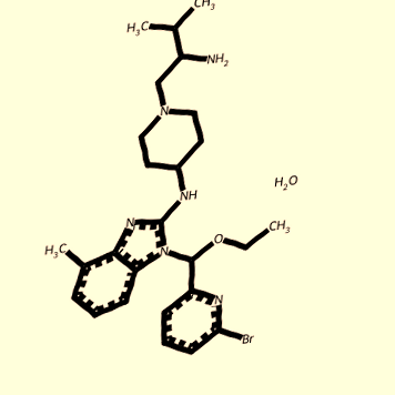 CCOC(c1cccc(Br)n1)n1c(NC2CCN(CC(N)C(C)C)CC2)nc2c(C)cccc21.O